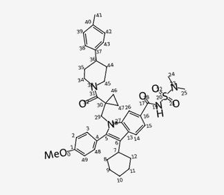 COc1ccc(-c2c(C3CCCCC3)c3ccc(C(=O)NS(=O)(=O)N(C)C)cc3n2CC2(C(=O)N3CCC(c4ccc(C)cc4)CC3)CC2)cc1